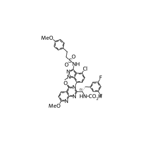 COc1ccc(CCS(=O)(=O)Nc2nn(C)c3c(-n4c([C@H](Cc5cc(F)cc(F)c5)NC(=O)O)nc5nc(OC)ccc5c4=O)ccc(Cl)c23)cc1